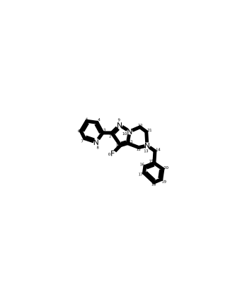 Fc1c(-c2ccccn2)nn2c1CN(Cc1ccccc1)CC2